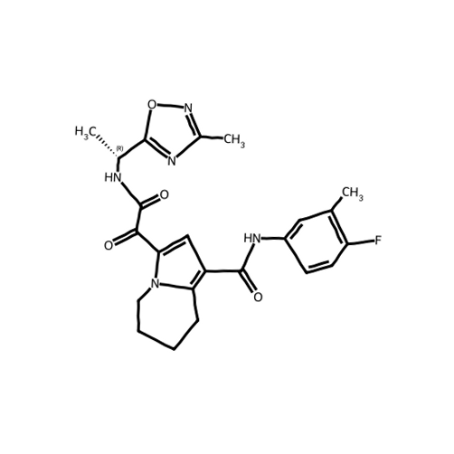 Cc1noc([C@@H](C)NC(=O)C(=O)c2cc(C(=O)Nc3ccc(F)c(C)c3)c3n2CCCC3)n1